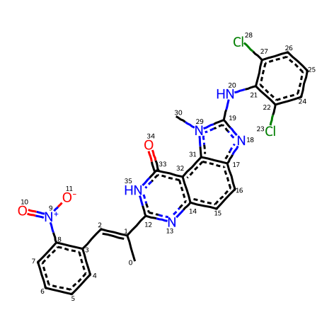 C/C(=C\c1ccccc1[N+](=O)[O-])c1nc2ccc3nc(Nc4c(Cl)cccc4Cl)n(C)c3c2c(=O)[nH]1